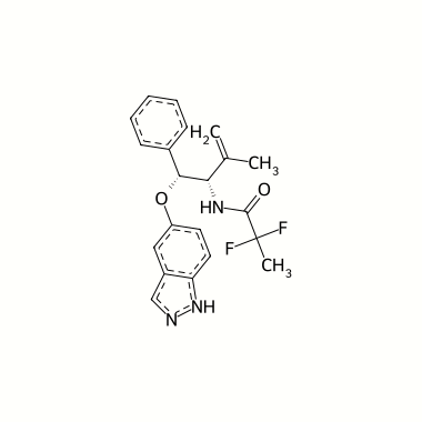 C=C(C)[C@H](NC(=O)C(C)(F)F)[C@H](Oc1ccc2[nH]ncc2c1)c1ccccc1